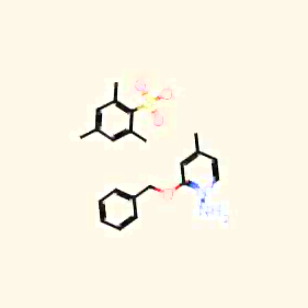 Cc1cc(C)c(S(=O)(=O)[O-])c(C)c1.Cc1cc[n+](N)c(OCc2ccccc2)c1